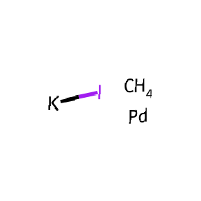 C.[K][I].[Pd]